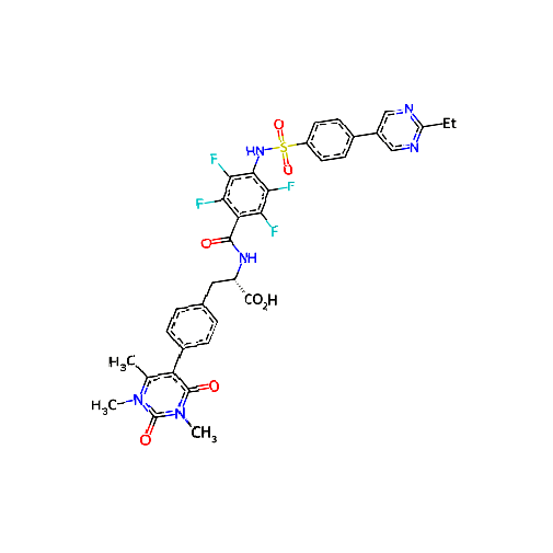 CCc1ncc(-c2ccc(S(=O)(=O)Nc3c(F)c(F)c(C(=O)N[C@@H](Cc4ccc(-c5c(C)n(C)c(=O)n(C)c5=O)cc4)C(=O)O)c(F)c3F)cc2)cn1